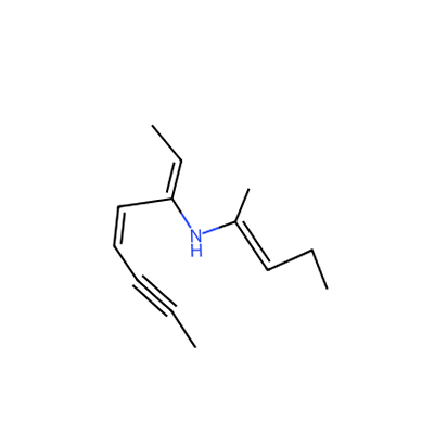 CC#C/C=C\C(=C/C)N/C(C)=C/CC